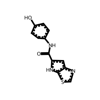 O=C(Nc1ccc(O)cc1)c1cc2ncsc2[nH]1